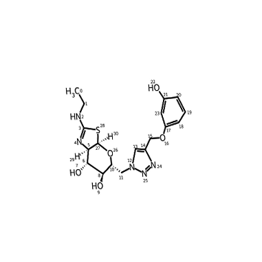 CCNC1=N[C@@H]2[C@@H](O)[C@H](O)[C@@H](Cn3cc(COc4cccc(O)c4)nn3)O[C@@H]2S1